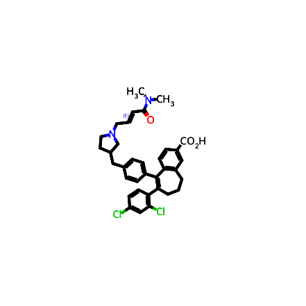 CN(C)C(=O)/C=C/CN1CCC(Cc2ccc(C3=C(c4ccc(Cl)cc4Cl)CCCc4cc(C(=O)O)ccc43)cc2)C1